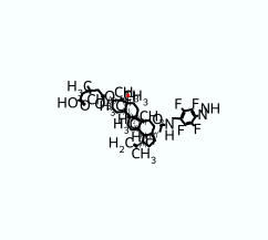 C=C(C)[C@@H]1CC[C@]2(CC(=O)NCc3c(F)c(F)c(N=N)c(F)c3F)CC[C@]3(C)[C@H](CC[C@@H]4[C@@]5(C)CC[C@H](OC(=O)CC(C)(C)CC(=O)O)C(C)(C)[C@@H]5CC[C@]43C)[C@@H]12